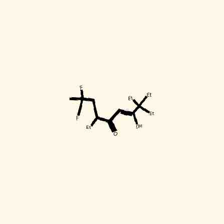 CCC(CC(C)(F)F)C(=O)/C=C(\O)C(CC)(CC)CC